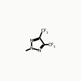 Cn1nc(C(F)(F)F)c(C(F)(F)F)n1